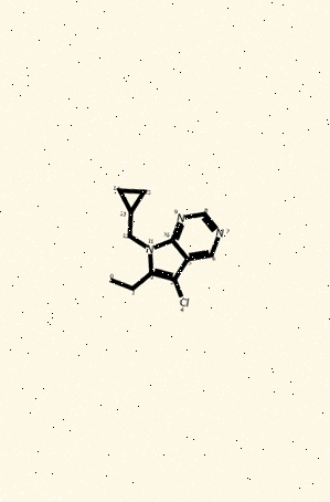 CCc1c(Cl)c2cncnc2n1CC1CC1